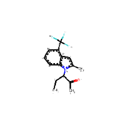 CCC(C(C)=O)n1c(C)cc2c(C(F)(F)F)cccc21